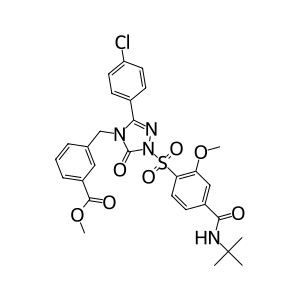 COC(=O)c1cccc(Cn2c(-c3ccc(Cl)cc3)nn(S(=O)(=O)c3ccc(C(=O)NC(C)(C)C)cc3OC)c2=O)c1